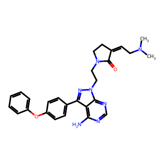 CN(C)CC=C1CCN(CCn2nc(-c3ccc(Oc4ccccc4)cc3)c3c(N)ncnc32)C1=O